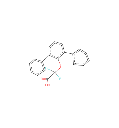 O=C(O)C(F)(F)Oc1c(-c2ccccc2)cccc1-c1ccccc1